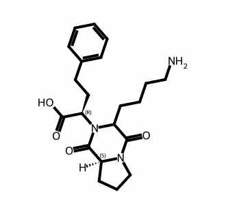 NCCCCC1C(=O)N2CCC[C@H]2C(=O)N1[C@H](CCc1ccccc1)C(=O)O